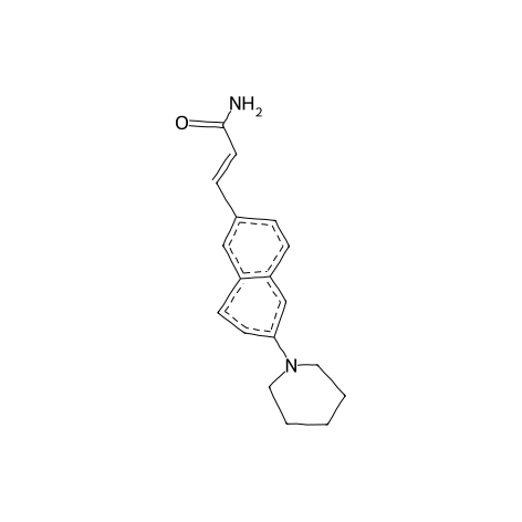 NC(=O)C=Cc1ccc2cc(N3CCCCC3)ccc2c1